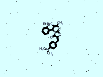 CCOC(=O)C1=C(C)N=c2o/c(=C/c3ccc(N(C)C)cc3)c(=O)n2C1c1ccccc1Cl